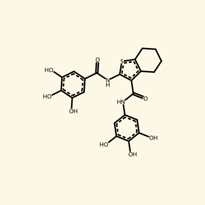 O=C(Nc1sc2c(c1C(=O)Nc1cc(O)c(O)c(O)c1)CCCC2)c1cc(O)c(O)c(O)c1